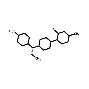 CC[C@H](C1CCC(C)CC1)C1CCC(C2CCC(C)CC2F)CC1